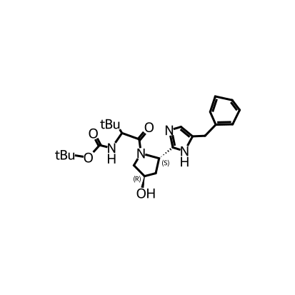 CC(C)(C)OC(=O)NC(C(=O)N1C[C@H](O)C[C@H]1c1ncc(Cc2ccccc2)[nH]1)C(C)(C)C